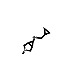 CN1CC2C(C1)C2NCC1CC1